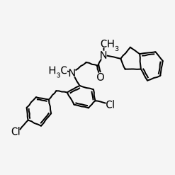 CN(CC(=O)N(C)C1Cc2ccccc2C1)c1cc(Cl)ccc1Cc1ccc(Cl)cc1